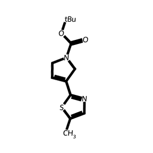 Cc1cnc(C2=CCN(C(=O)OC(C)(C)C)C2)s1